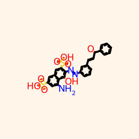 Nc1cc(S(=O)(=O)O)cc2cc(S(=O)(=O)O)c(N=Nc3cccc(C=CC(=O)c4ccccc4)c3)c(O)c12